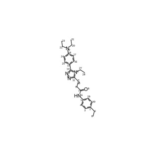 CCc1ccc(NC(=O)CSc2nnc(-c3ccc(N(CC)CC)cc3)n2CC)cc1